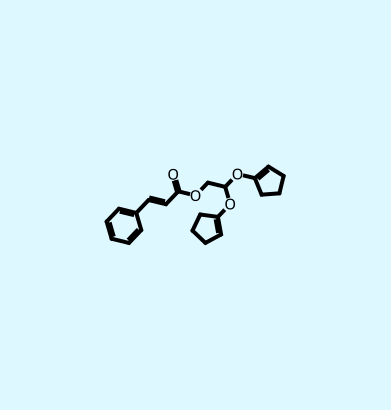 O=C(C=Cc1ccccc1)OCC(OC1=CCCC1)OC1=CCCC1